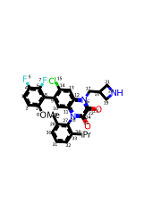 COc1ccc(F)c(F)c1-c1cc2c(cc1Cl)n(CC1CNC1)c(=O)c(=O)n2-c1c(C)cccc1C(C)C